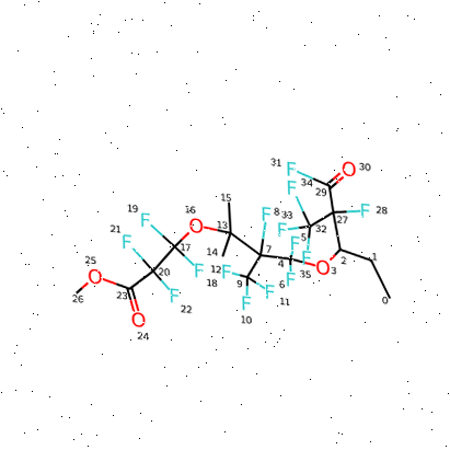 CCC(OC(F)(F)C(F)(C(F)(F)F)C(C)(C)OC(F)(F)C(F)(F)C(=O)OC)C(F)(C(=O)F)C(F)(F)F